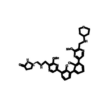 COc1nc(-c2cccc(-c3cccc(-c4cnc(CNC5CCOCC5)c(OC)n4)c3Cl)c2Cl)cnc1CNC[C@@H]1CCC(=O)N1